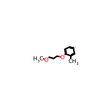 COCCCOc1cc[c]cc1C